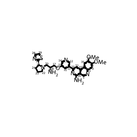 COc1cc2ncc3c(N)nc(-c4cncc(OC[C@@H](N)CN5CCC[C@H]5c5nccs5)c4)cc3c2cc1OC